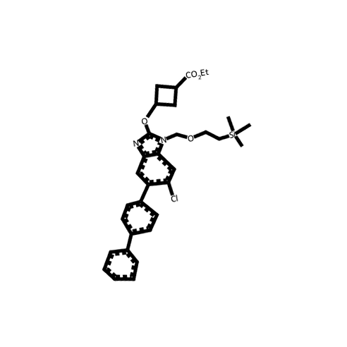 CCOC(=O)C1CC(Oc2nc3cc(-c4ccc(-c5ccccc5)cc4)c(Cl)cc3n2COCC[Si](C)(C)C)C1